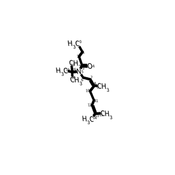 CCCC(=O)N(C/C=C(/C)CCC=C(C)C)C(C)(C)C